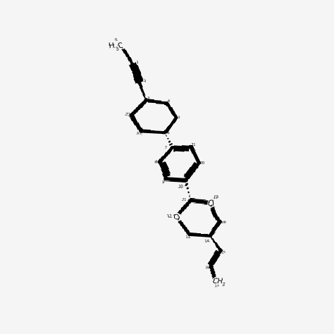 CC#C[C@H]1CC[C@H](c2ccc([C@H]3OC[C@H](C=CC)CO3)cc2)CC1